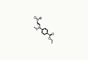 CCOC(=O)c1ccc(N(/C=C/[N+](=O)[O-])SC)cc1